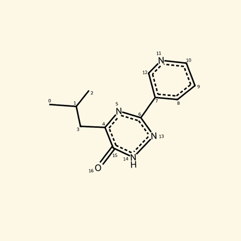 CC(C)Cc1nc(-c2cccnc2)n[nH]c1=O